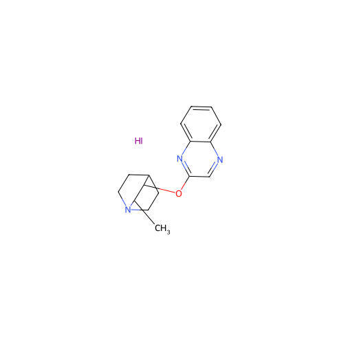 CC1C(Oc2cnc3ccccc3n2)C2CCN1CC2.I